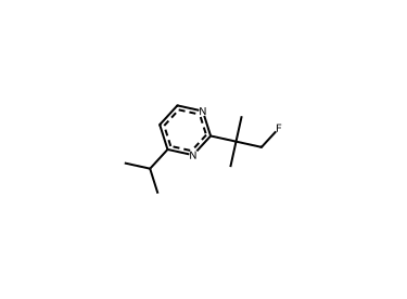 CC(C)c1ccnc(C(C)(C)CF)n1